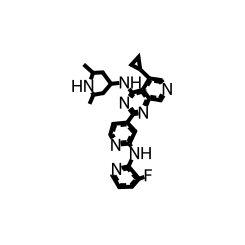 CC1CC(Nc2nc(-c3ccnc(Nc4ncccc4F)c3)nc3cncc(C4CC4)c23)CC(C)N1